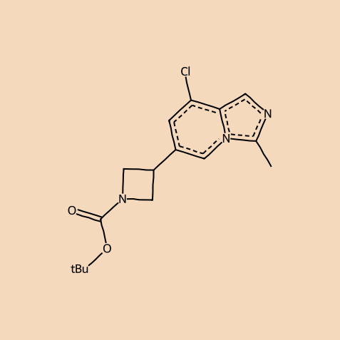 Cc1ncc2c(Cl)cc(C3CN(C(=O)OC(C)(C)C)C3)cn12